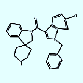 O=C(c1cn(Cc2ccccn2)c2cc(Cl)ccc12)N1CC2(CCNCC2)c2ccccc21